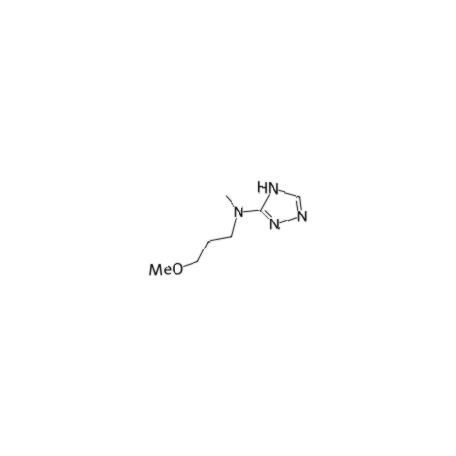 COCCCN(C)c1nnc[nH]1